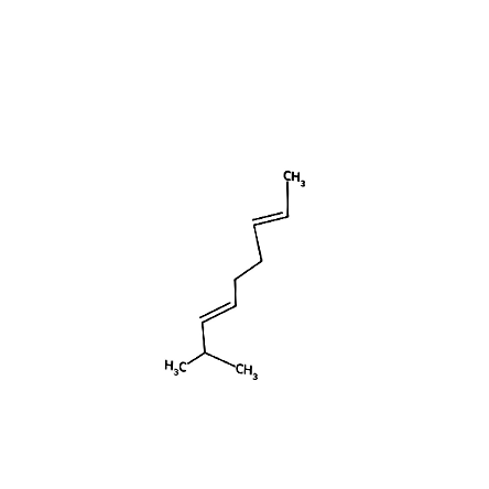 C/C=C/CC/C=C/C(C)C